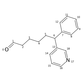 O=CCCCCC(c1ccccc1)c1cccnc1